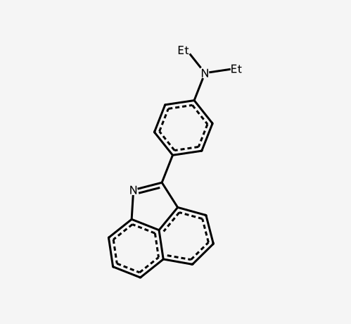 CCN(CC)c1ccc(C2=Nc3cccc4cccc2c34)cc1